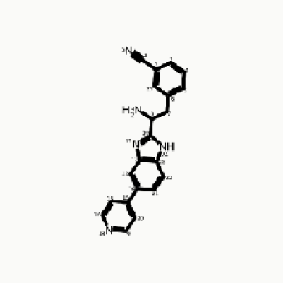 N#Cc1cccc(CC(N)c2nc3cc(-c4ccncc4)ccc3[nH]2)c1